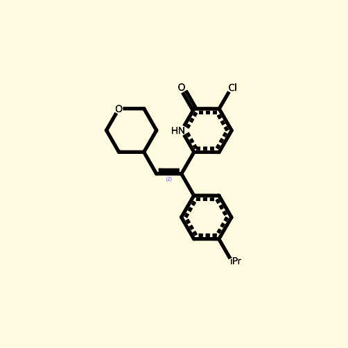 CC(C)c1ccc(/C(=C/C2CCOCC2)c2ccc(Cl)c(=O)[nH]2)cc1